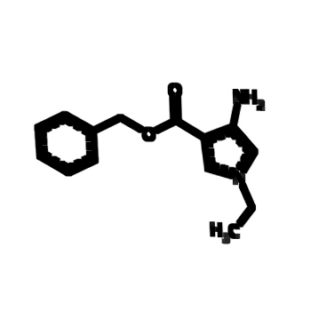 CCn1cc(N)c(C(=O)OCc2ccccc2)c1